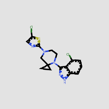 Clc1cnc(N2CCN(c3n[nH]c4cccc(Cl)c34)C3(CC3)C2)s1